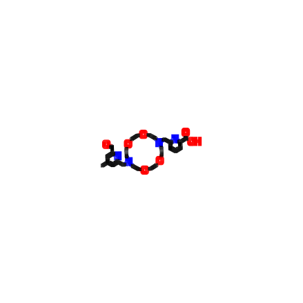 Cc1cc(C=O)nc(CN2CCOCCOCCN(Cc3cccc(C(=O)O)n3)CCOCCOCC2)c1